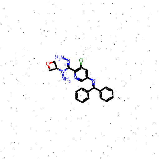 N/N=C(/c1ncc(N=C(c2ccccc2)c2ccccc2)cc1Cl)N(N)C1COC1